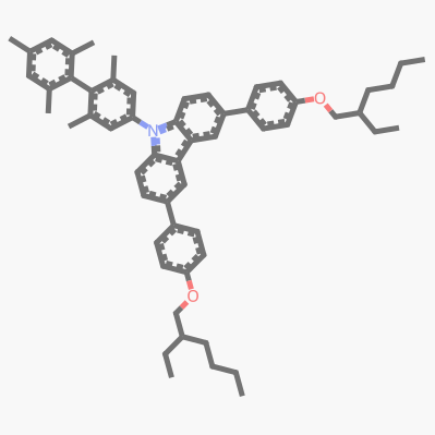 CCCCC(CC)COc1ccc(-c2ccc3c(c2)c2cc(-c4ccc(OCC(CC)CCCC)cc4)ccc2n3-c2cc(C)c(-c3c(C)cc(C)cc3C)c(C)c2)cc1